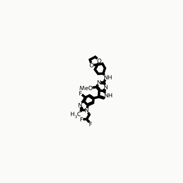 COc1nc(NC2CCC3(CC2)OCCO3)nc2[nH]cc(-c3cc(F)c4nc(C)n(CC(F)F)c4c3)c12